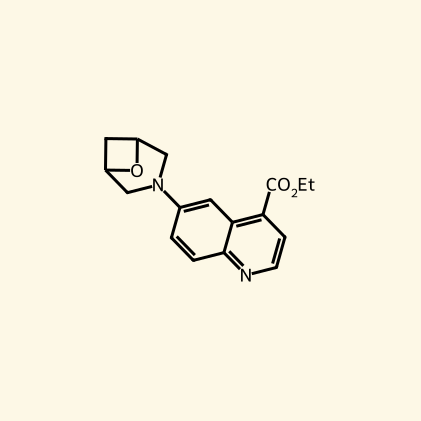 CCOC(=O)c1ccnc2ccc(N3CC4CC(C3)O4)cc12